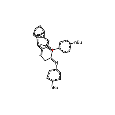 CCCCc1ccc(N=C2[C]=c3c4c5c6ccc(cc6)c5c(c3=[C]C2)CC4=Nc2ccc(CCCC)cc2)cc1